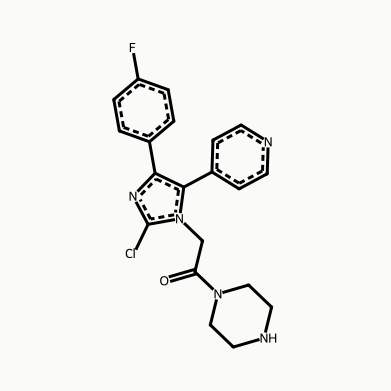 O=C(Cn1c(Cl)nc(-c2ccc(F)cc2)c1-c1ccncc1)N1CCNCC1